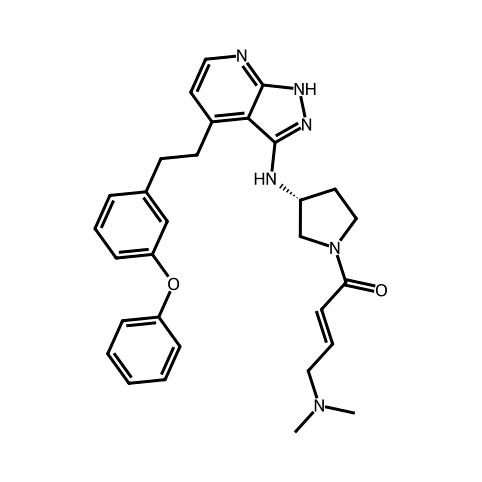 CN(C)C/C=C/C(=O)N1CC[C@@H](Nc2n[nH]c3nccc(CCc4cccc(Oc5ccccc5)c4)c23)C1